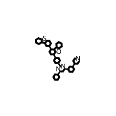 c1ccc(-c2cc(-c3cccc(-c4ccncc4)c3)nc(-c3ccc(-c4ccc(-c5ccc6sc7ccccc7c6c5)c5c4oc4ccccc45)cc3)n2)cc1